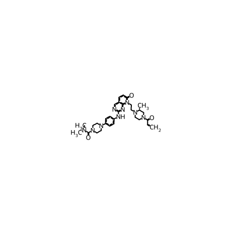 C=CC(=O)N1CCN(CCn2c(=O)ccc3cnc(Nc4ccc(N5CCN(C(=O)N(C)C)CC5)cc4)nc32)[C@@H](C)C1